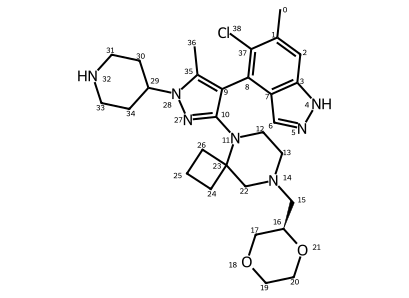 Cc1cc2[nH]ncc2c(-c2c(N3CCN(C[C@@H]4COCCO4)CC34CCC4)nn(C3CCNCC3)c2C)c1Cl